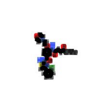 COC(=O)CCC(=O)Nc1cc(C(=O)Nc2nc(-c3ccccc3Cl)cs2)ccc1OCCN1CCOCC1